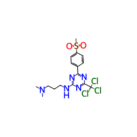 CN(C)CCCNc1nc(-c2ccc(S(C)(=O)=O)cc2)nc(C(Cl)(Cl)Cl)n1